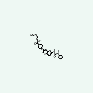 CNCCNC(=O)C1CCN(c2cnc3ccc(NC(=O)NC4CCCC4)nc3c2)CC1